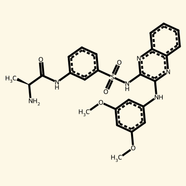 COc1cc(Nc2nc3ccccc3nc2NS(=O)(=O)c2cccc(NC(=O)[C@H](C)N)c2)cc(OC)c1